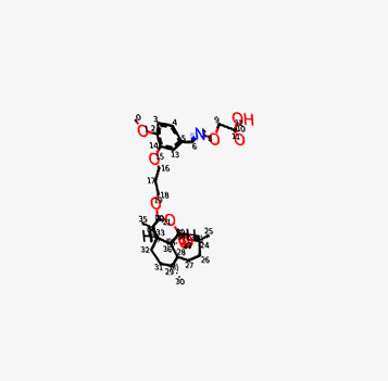 COc1ccc(/C=N/OCC(=O)O)cc1OCCCO[C@H]1O[C@@H]2O[C@@]3(C)CCC4[C@H](C)CC[C@@H]([C@H]1C)[C@]42OO3